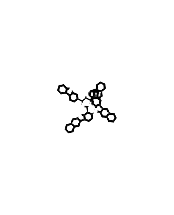 CCC1C(c2ccc3c(c2)oc2ccccc23)N=C(c2c(-n3c4cc5ccccc5cc4c4cc5ccccc5cc43)ccc3c2oc2cc4ccccc4cc23)NC1c1ccc2ccccc2c1